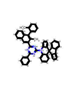 Cc1ccccc1-c1c(C)c(-c2nc(-c3ccccc3)nc(N3c4ccccc4C4(c5ccccc5-c5ccccc54)c4ccccc43)n2)cc2ccccc12